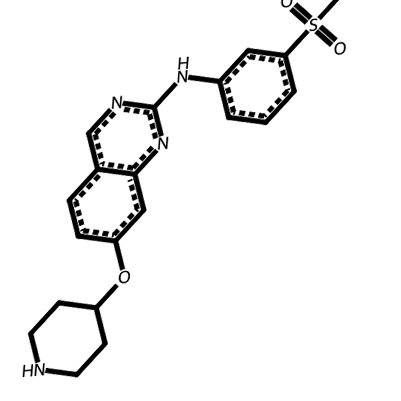 CS(=O)(=O)c1cccc(Nc2ncc3ccc(OC4CCNCC4)cc3n2)c1